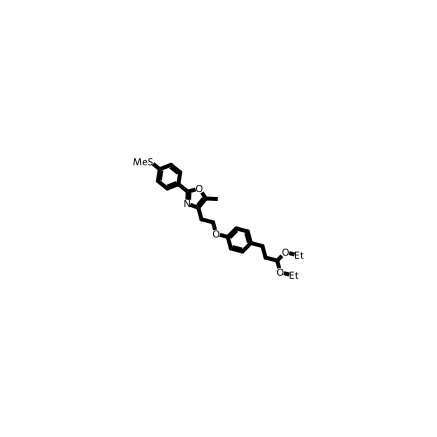 CCOC(CCc1ccc(OCCc2nc(-c3ccc(SC)cc3)oc2C)cc1)OCC